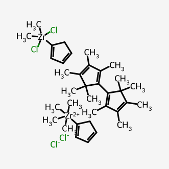 CC1=C(C)C(C)(C)C(C2=C(C)C(C)=C(C)C2(C)C)=C1C.[CH3][Zr+2]([CH3])([CH3])([CH3])[C]1=CC=CC1.[CH3][Zr]([CH3])([Cl])([Cl])[C]1=CC=CC1.[Cl-].[Cl-]